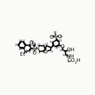 CCn1cc(S(=O)(=O)N2CCC3(CC2)CC(c2cc(OCC(O)CNC(=O)O)cc(S(C)(=O)=O)c2)CO3)c(=O)c2ccccc21